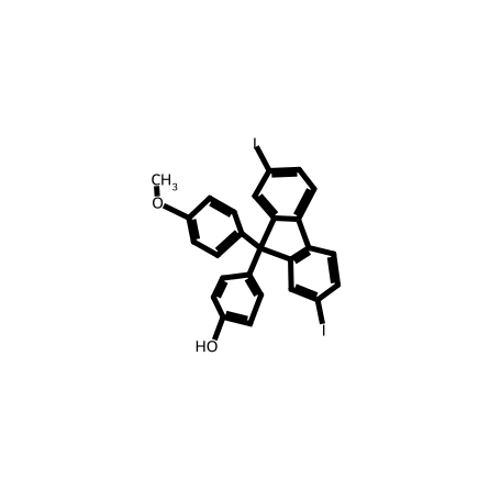 COc1ccc(C2(c3ccc(O)cc3)c3cc(I)ccc3-c3ccc(I)cc32)cc1